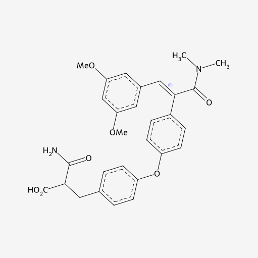 COc1cc(/C=C(/C(=O)N(C)C)c2ccc(Oc3ccc(CC(C(N)=O)C(=O)O)cc3)cc2)cc(OC)c1